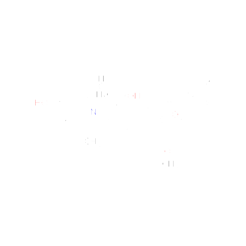 COc1ccc(C(C)(O)CN2C(C)=CC(O)=CC2C)cc1OCC1CC1